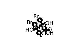 O=C(O)c1ccc2nc(-c3ccc(Br)cc3)c(CO)n2c1.OCc1c(-c2ccc(F)c(Cl)c2)nc2ccc(Br)cn12